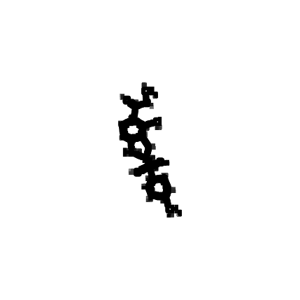 COC(=O)c1ccc2c(c1Cl)CN(S(=O)(=O)c1ccc(C)cc1)N2